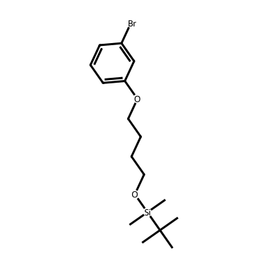 CC(C)(C)[Si](C)(C)OCCCCOc1cccc(Br)c1